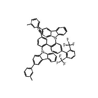 Cc1cccc(-c2ccc3c(c2)c2ccccc2n3-c2ccc(C#N)cc2-c2ccc(-c3c(C(F)(F)F)cccc3C(F)(F)F)cc2-n2c3ccccc3c3cc(-c4cccc(C)c4)ccc32)c1